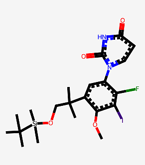 COc1c(C(C)(C)CO[Si](C)(C)C(C)(C)C)cc(-n2ccc(=O)[nH]c2=O)c(F)c1I